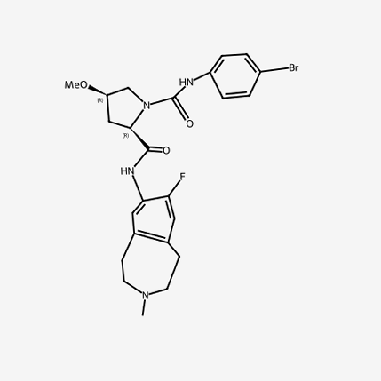 CO[C@@H]1C[C@H](C(=O)Nc2cc3c(cc2F)CCN(C)CC3)N(C(=O)Nc2ccc(Br)cc2)C1